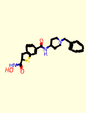 O=C(NC1CCN(Cc2ccccc2)CC1)c1ccc2c(c1)SC(C(=O)NO)C2